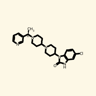 C[C@H](c1cccnc1)N1CCC(N2CCC(n3c(=O)[nH]c4cc(Cl)ccc43)CC2)CC1